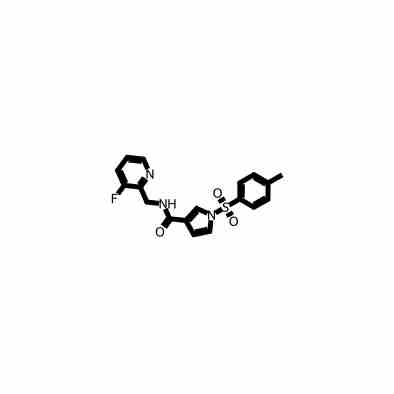 Cc1ccc(S(=O)(=O)n2ccc(C(=O)NCc3ncccc3F)c2)cc1